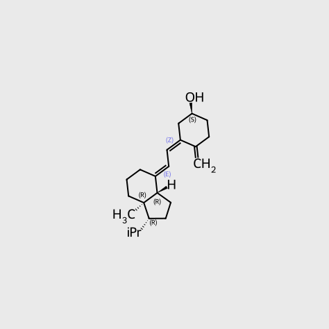 C=C1CC[C@H](O)C/C1=C/C=C1\CCC[C@]2(C)[C@@H](C(C)C)CC[C@@H]12